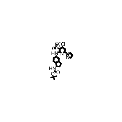 CC(C)(C)OC(=O)N[C@H]1CCc2cc(Nc3nc(-n4cccn4)cc(Cl)c3[N+](=O)[O-])ccc21